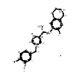 O[C@H](Nc1cc2c(cc1F)CNCC2)c1cn(Cc2ccc(F)c(F)c2)cn1